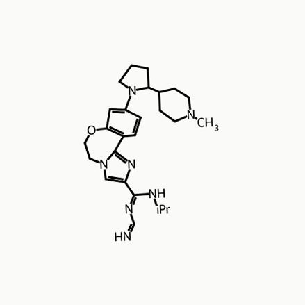 CC(C)N/C(=N\C=N)c1cn2c(n1)-c1ccc(N3CCCC3C3CCN(C)CC3)cc1OCC2